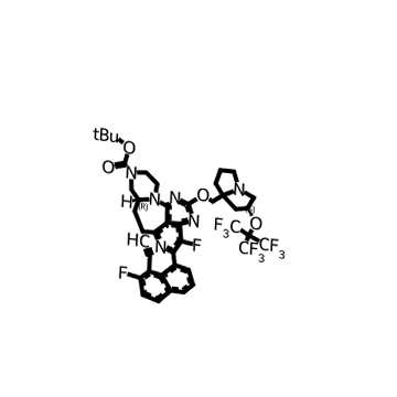 C#Cc1c(F)ccc2cccc(-c3nc4c5c(nc(OCC67CCCN6C[C@@H](OC(C(F)(F)F)(C(F)(F)F)C(F)(F)F)C7)nc5c3F)N3CCN(C(=O)OC(C)(C)C)C[C@H]3CC4)c12